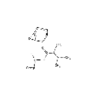 CC(C)C(C)C(=O)ON(Cl)P=O.c1ccc2c(c1)O2